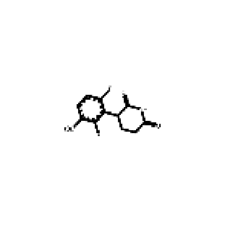 CC(C)(C)c1ccc(F)c(C2CCC(=O)NC2=O)c1F